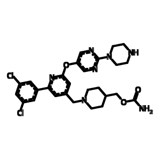 NC(=O)OCC1CCN(Cc2cc(Oc3cnc(N4CCNCC4)nc3)nc(-c3cc(Cl)cc(Cl)c3)c2)CC1